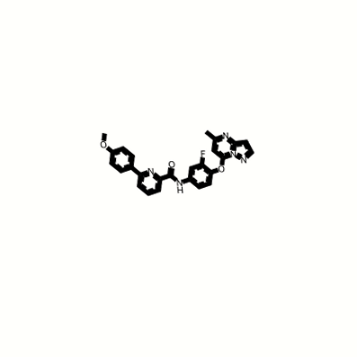 COc1ccc(-c2cccc(C(=O)Nc3ccc(Oc4cc(C)nc5ccnn45)c(F)c3)n2)cc1